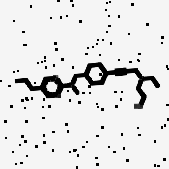 CCCc1cnc(N(C)CC2CCC(C#CCN(CC)CCO)CC2)nc1